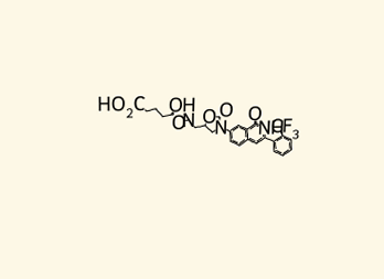 O=C(O)CCCC(=O)ONCC1CN(c2ccc3cc(-c4ccccc4C(F)(F)F)[nH]c(=O)c3c2)C(=O)O1